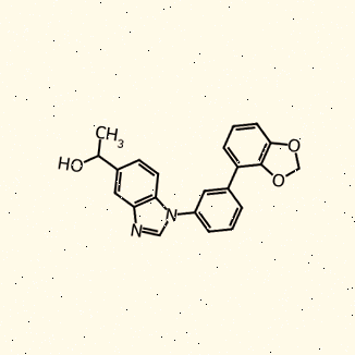 CC(O)c1ccc2c(c1)ncn2-c1cccc(-c2cccc3c2OCO3)c1